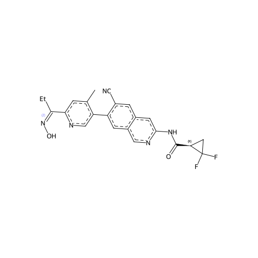 CC/C(=N/O)c1cc(C)c(-c2cc3cnc(NC(=O)[C@H]4CC4(F)F)cc3cc2C#N)cn1